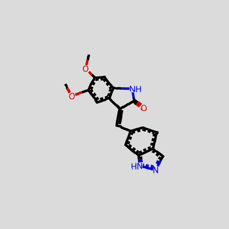 COc1cc2c(cc1OC)C(=Cc1ccc3cn[nH]c3c1)C(=O)N2